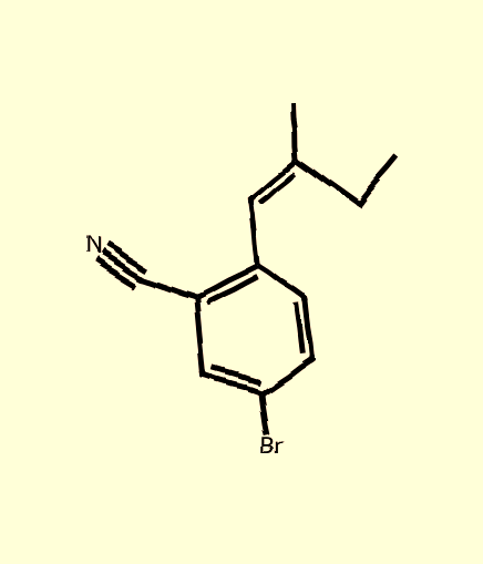 CCC(C)=Cc1ccc(Br)cc1C#N